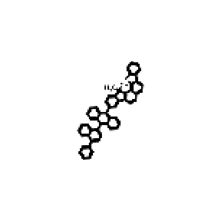 CC1(C)c2ccc(-c3c4ccccc4c(-c4ccc(-c5ccccc5)c5ccccc45)c4ccccc34)cc2-c2ccc3ccc4c5ccccc5sc4c3c21